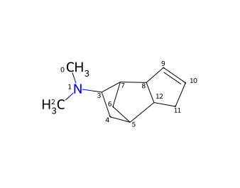 CN(C)C1CC2CC1C1C=CCC21